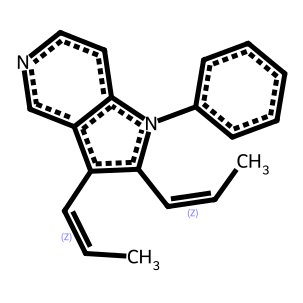 C/C=C\c1c(/C=C\C)n(-c2ccccc2)c2ccncc12